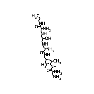 CCCNC(=O)C(N)CNCC(O)CNCC(N)C(=O)NCC(CC)CC(C)CNC(=O)C(N)CN